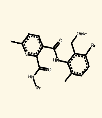 COCc1c(Br)ccc(C)c1NC(=O)c1ccc(C)nc1C(=O)NC(C)C